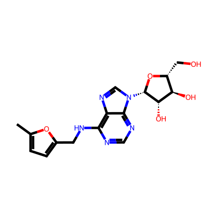 Cc1ccc(CNc2ncnc3c2ncn3[C@@H]2O[C@H](CO)[C@@H](O)[C@@H]2O)o1